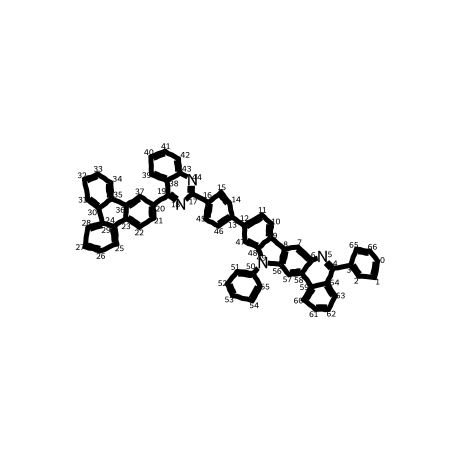 c1ccc(-c2nc3cc4c5ccc(-c6ccc(-c7nc(-c8ccc9c%10ccccc%10c%10ccccc%10c9c8)c8ccccc8n7)cc6)cc5n(-c5ccccc5)c4cc3c3ccccc23)cc1